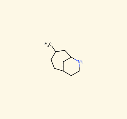 CC1CCC2CCNC(C1)C2